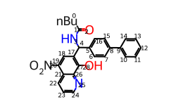 CCCCC(=O)NC(c1ccc(-c2ccccc2)cc1)c1cc([N+](=O)[O-])c2cccnc2c1O